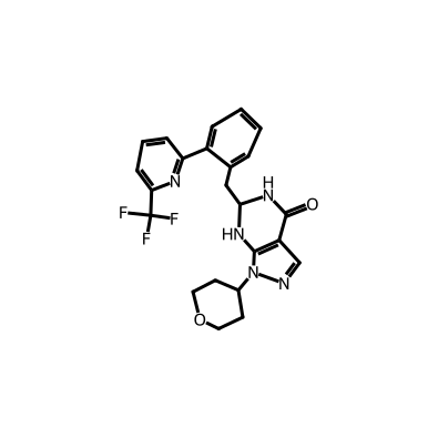 O=C1NC(Cc2ccccc2-c2cccc(C(F)(F)F)n2)Nc2c1cnn2C1CCOCC1